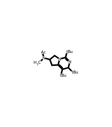 CC(=O)N(C)C1CC2=C(C(C)(C)C)C(C(C)(C)C)N=C(C(C)(C)C)N2C1